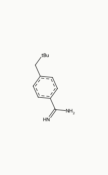 CC(C)(C)Cc1ccc(C(=N)N)cc1